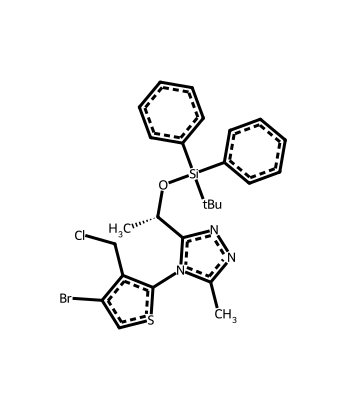 Cc1nnc([C@H](C)O[Si](c2ccccc2)(c2ccccc2)C(C)(C)C)n1-c1scc(Br)c1CCl